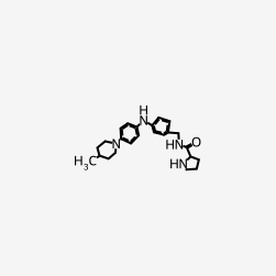 CC1CCN(c2ccc(Nc3ccc(CNC(=O)C4CCCN4)cc3)cc2)CC1